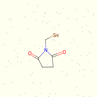 O=C1CCC(=O)N1CS